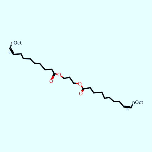 CCCCCCCC/C=C\CCCCCCCC(=O)OC[CH]COC(=O)CCCCCCC/C=C\CCCCCCCC